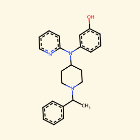 CC(c1ccccc1)N1CCC(N(c2cccc(O)c2)c2ccccn2)CC1